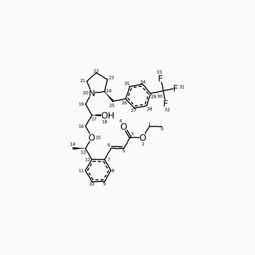 CCOC(=O)/C=C/c1ccccc1[C@@H](C)OC[C@H](O)CN1CCC[C@H]1Cc1ccc(C(F)(F)F)cc1